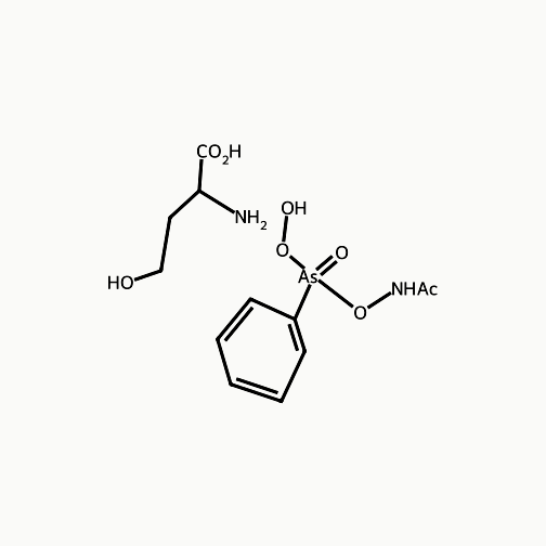 CC(=O)NO[As](=O)(OO)c1ccccc1.NC(CCO)C(=O)O